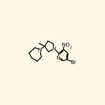 CC1(N2CCCCC2)CCN(c2ncc(Br)cc2[N+](=O)[O-])C1